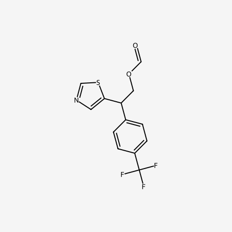 O=COCC(c1ccc(C(F)(F)F)cc1)c1cncs1